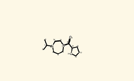 CC(C)N1CCCN(C(=O)C2CCCO2)CC1